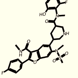 CNC(=O)c1c(-c2ccc(F)cc2)oc2cc(N(C)S(C)(=O)=O)c(C3CNCC(C(=O)N(C)c4c(O)cccc4F)C3)cc12